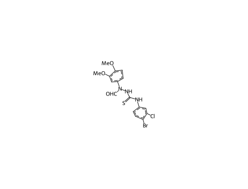 COc1ccc(N(C=O)NC(=S)Nc2ccc(Br)c(Cl)c2)cc1OC